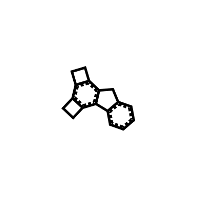 c1ccc2c(c1)Cc1c3c(c4c(c1-2)CC4)CC3